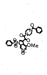 COc1c[n+]([O-])cc2c1c(C(=O)C(=O)N1CCN(C(=O)c3ccccc3)CC1)cn2S(=O)(=O)c1ccccc1